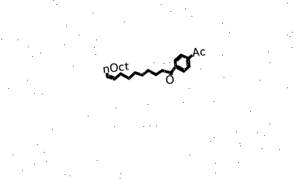 CCCCCCCC/C=C\CCCCCCCC(=O)c1ccc(C(C)=O)cc1